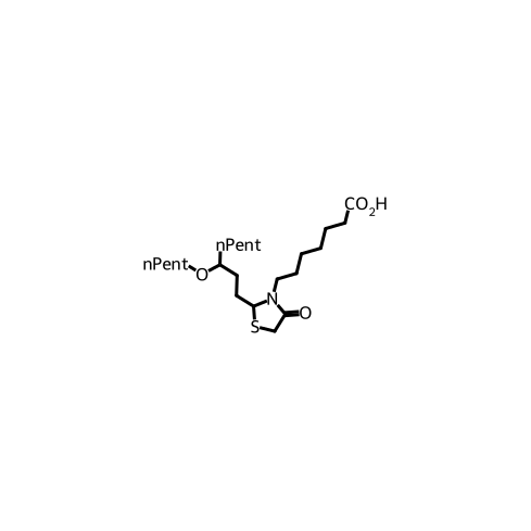 CCCCCOC(CCCCC)CCC1SCC(=O)N1CCCCCCC(=O)O